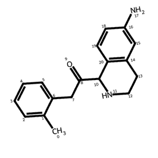 Cc1ccccc1CC(=O)C1NCCc2cc(N)ccc21